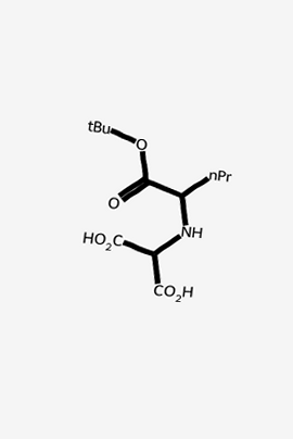 CCCC(NC(C(=O)O)C(=O)O)C(=O)OC(C)(C)C